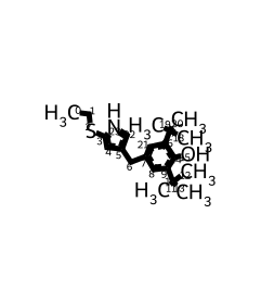 CCSc1cc(Cc2cc(C(C)(C)C)c(O)c(C(C)(C)C)c2)c[nH]1